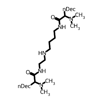 CCCCCCCCCCC(C(=O)NCCCCNCCNC(=O)C(CCCCCCCCCC)N(C)C)N(C)C